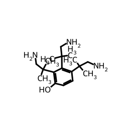 CC(C)(CN)c1ccc(O)c(C(C)(C)CN)c1C(C)(C)CN